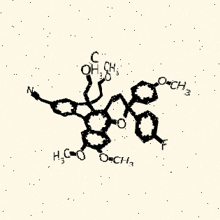 COCCC1(CCOC)c2cc(C#N)ccc2-c2c1c1c(c3cc(OC)c(OC)cc23)OC(c2ccc(F)cc2)(c2ccc(OC)cc2)C=C1